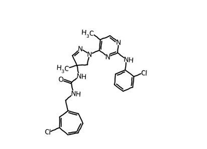 Cc1cnc(Nc2ccccc2Cl)nc1N1CC(C)(NC(=O)NCC2=CC=C=CC(Cl)=C2)C=N1